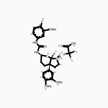 COc1cc(NC(=O)N[C@@H]2CC[C@@]3(c4ccc(OC)c(OC)c4)CCN(C)[C@H]3C2)ccc1F.O=C(O)C(F)(F)F